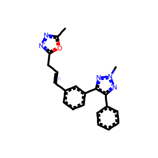 Cc1nnc(C/C=C/c2cccc(-c3nn(C)nc3-c3ccccc3)c2)o1